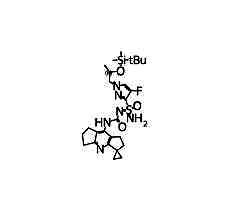 C[C@H](Cn1cc(F)c(S(N)(=O)=NC(=O)Nc2c3c(nc4c2CCC42CC2)CCC3)n1)O[Si](C)(C)C(C)(C)C